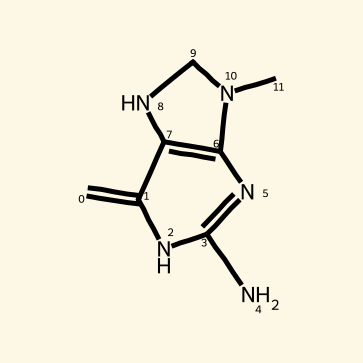 C=C1NC(N)=NC2=C1NCN2C